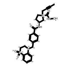 CC#CC[N+]1(C(=O)NO)CC[C@H](NC(=O)c2ccc(CN3CCS(=O)(=O)c4ccccc43)cc2)C1